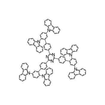 c1ccc2c(c1)c1ccccc1n2-c1ccc(-n2c3ccccc3c3ccccc32)c(-c2ccc(-c3nc(-c4ccc(-c5cc(-n6c7ccccc7c7ccccc76)ccc5-n5c6ccccc6c6ccccc65)cc4)nc(-c4ccc(-c5cc(-n6c7ccccc7c7ccccc76)ccc5-n5c6ccccc6c6ccccc65)cc4)n3)cc2)c1